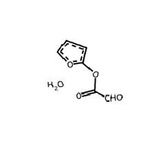 O.O=CC(=O)Oc1ccco1